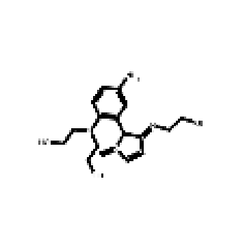 C=S1C=CC(=NCCO)C1c1cc(N)ccc1N(CCO)CCO